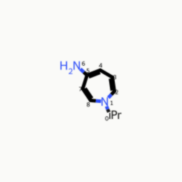 CC(C)N1C=CC=C(N)C=C1